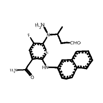 CC(CC=O)N(N)c1nc(Nc2ccc3ccccc3c2)c(C(N)=O)cc1F